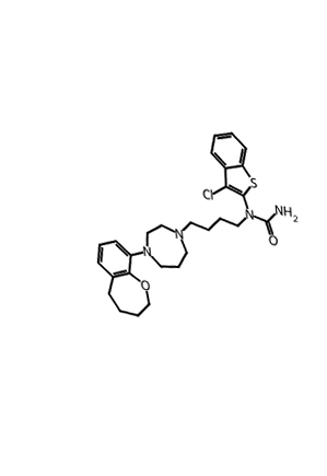 NC(=O)N(CCCCN1CCCN(c2cccc3c2OCCCC3)CC1)c1sc2ccccc2c1Cl